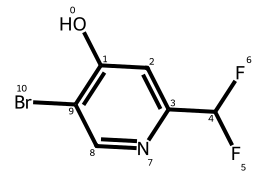 Oc1cc(C(F)F)ncc1Br